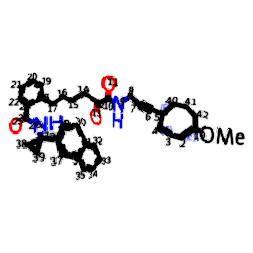 CO/C1=C/C=C\C(C#CCNC(=O)C(=O)CCCCc2ccccc2C(=O)NC2(c3ccc4ccccc4c3)CC2)=C/CC1